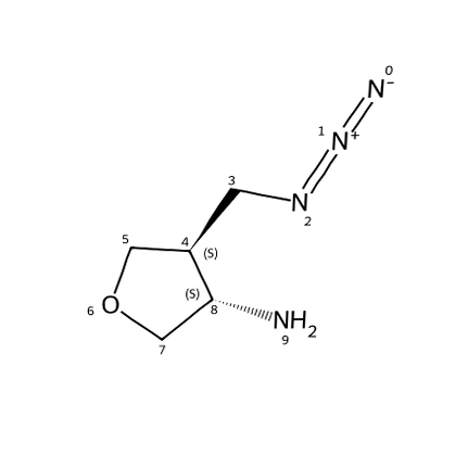 [N-]=[N+]=NC[C@@H]1COC[C@H]1N